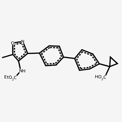 CCOC(=O)Nc1c(-c2ccc(-c3ccc(C4(C(=O)O)CC4)cc3)cc2)noc1C